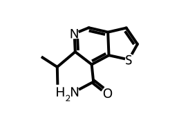 CC(C)c1ncc2ccsc2c1C(N)=O